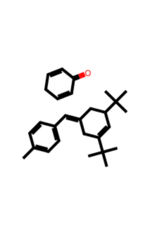 Cc1ccc(C=C2CC(C(C)(C)C)=CC(C(C)(C)C)C2)cc1.O=C1C=CCC=C1